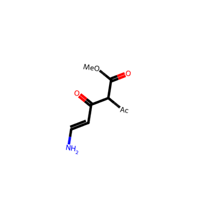 COC(=O)C(C(C)=O)C(=O)C=CN